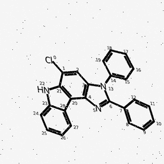 Clc1cc2c(nc(-c3ccccc3)n2-c2ccccc2)c2c1[nH]c1ccccc12